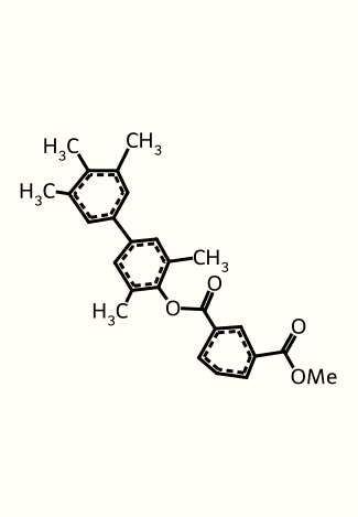 COC(=O)c1cccc(C(=O)Oc2c(C)cc(-c3cc(C)c(C)c(C)c3)cc2C)c1